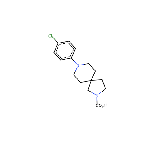 O=C(O)N1CCC2(CCN(c3ccc(Cl)cc3)CC2)C1